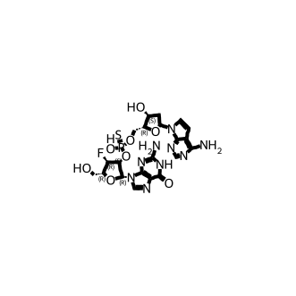 Nc1nc2c(ncn2[C@@H]2O[C@H](CO)[C@@H](F)[C@H]2OP(O)(=S)OC[C@H]2OC(n3ccc4c(N)ncnc43)C[C@@H]2O)c(=O)[nH]1